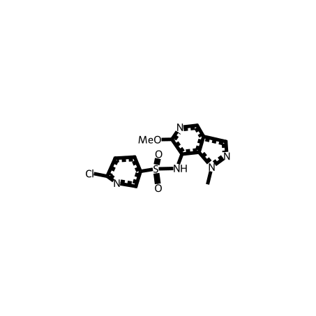 COc1ncc2cnn(C)c2c1NS(=O)(=O)c1ccc(Cl)nc1